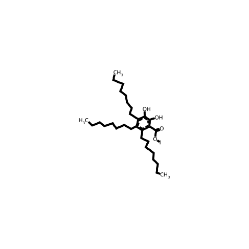 CCCCCCCCc1c(O)c(O)c(C(=O)OI)c(CCCCCCCC)c1CCCCCCCC